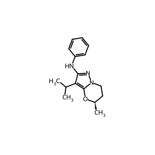 CC(C)c1c(Nc2ccccc2)nn2c1O[C@H](C)CC2